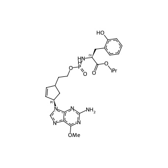 COc1nc(N)nc2c1ncn2[C@H]1C=CC(CCO[PH](=O)N[C@@H](Cc2ccccc2O)C(=O)OC(C)C)C1